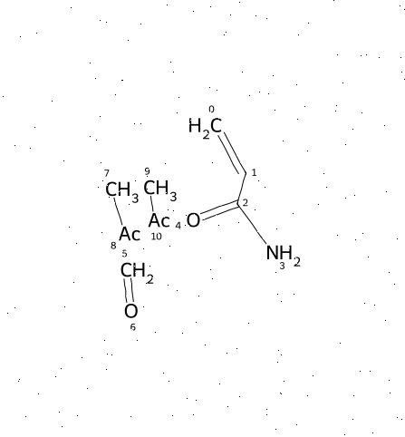 C=CC(N)=O.C=O.CC(C)=O.CC(C)=O